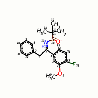 COc1cc(/C(Cc2ccccc2)=N\[S+]([O-])C(C)(C)C)ccc1F